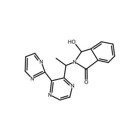 CC(c1nccnc1-c1ncccn1)N1C(=O)c2ccccc2C1O